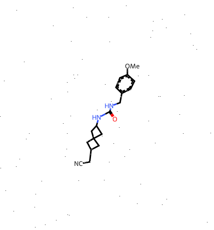 COc1ccc(CNC(=O)NC2CC3(CC(CC#N)C3)C2)cc1